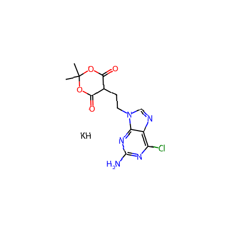 CC1(C)OC(=O)C(CCn2cnc3c(Cl)nc(N)nc32)C(=O)O1.[KH]